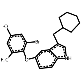 [O]c1cc(Br)c(Oc2ccc3[nH]cc(CC4CCCCC4)c3c2)c(C(F)(F)F)c1